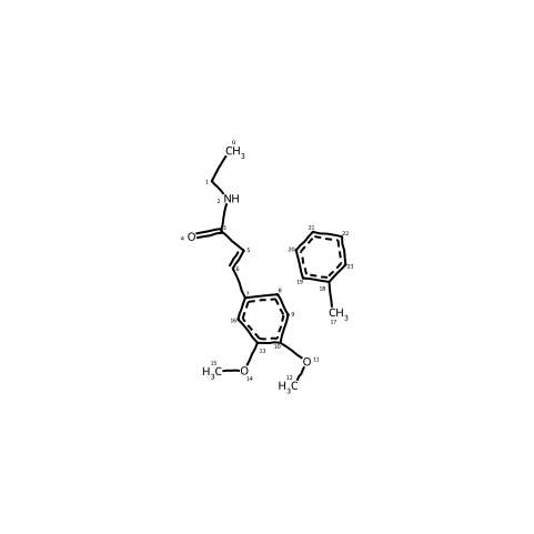 CCNC(=O)/C=C/c1ccc(OC)c(OC)c1.Cc1ccccc1